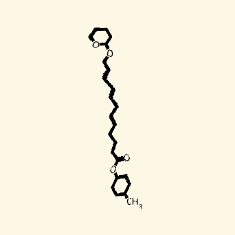 CC1CCC(OC(=O)CCCCCCCCCCCOC2CCCCO2)CC1